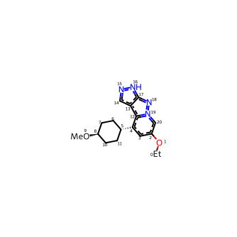 CCOc1cc([C@H]2CC[C@H](OC)CC2)c2c3cn[nH]c3nn2c1